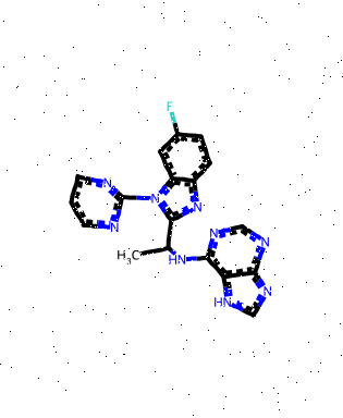 CC(Nc1ncnc2nc[nH]c12)c1nc2ccc(F)cc2n1-c1ncccn1